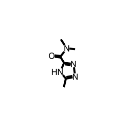 Cc1nnc(C(=O)N(C)C)[nH]1